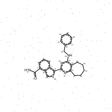 NC(=O)c1cccc2c(-c3nc4c(c(NCc5ccccc5)n3)CCCCC4)scc12